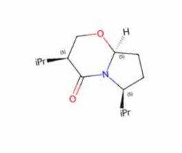 CC(C)[C@H]1CO[C@H]2CC[C@@H](C(C)C)N2C1=O